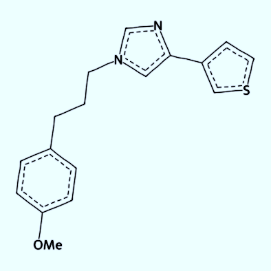 COc1ccc(CCCn2cnc(-c3ccsc3)c2)cc1